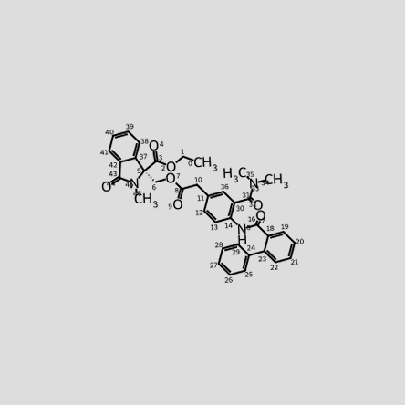 CCOC(=O)[C@]1(COC(=O)Cc2ccc(NC(=O)c3ccccc3-c3ccccc3)c(C(=O)N(C)C)c2)c2ccccc2C(=O)N1C